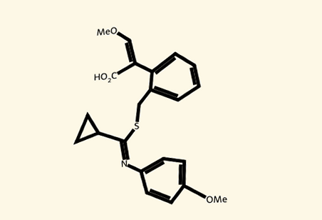 CO/C=C(\C(=O)O)c1ccccc1CS/C(=N\c1ccc(OC)cc1)C1CC1